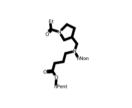 CCCCCCCCCN(CCCC(=O)OCCCCC)CC1CCN(C(=O)CC)C1